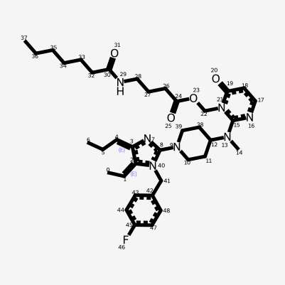 C/C=c1\c(=C/CC)nc(N2CCC(N(C)c3nccc(=O)n3COC(=O)CCCNC(=O)CCCCCC)CC2)n1Cc1ccc(F)cc1